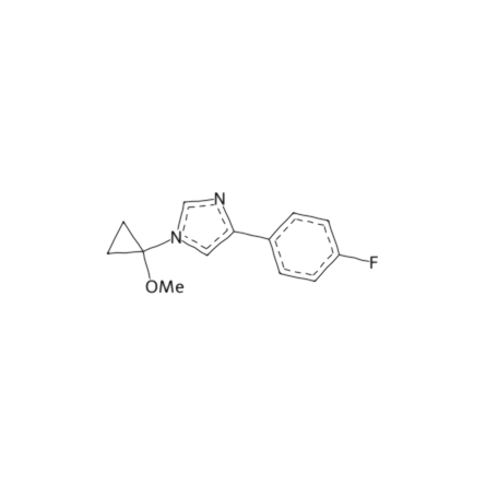 COC1(n2cnc(-c3ccc(F)cc3)c2)CC1